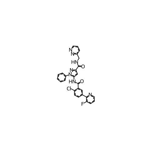 O=C(NCc1cccnn1)c1cc(NC(=O)c2cc(-c3ncccc3F)ccc2Cl)n(-c2ccccc2)n1